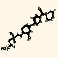 O=C(O)NCC(F)(F)COc1ccc(-c2ccc(C(=O)N3CCOCC3)cc2)cc1Cl